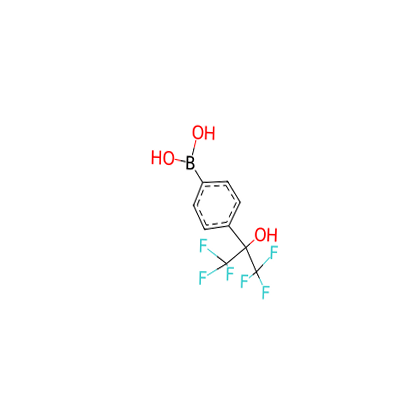 OB(O)c1ccc(C(O)(C(F)(F)F)C(F)(F)F)cc1